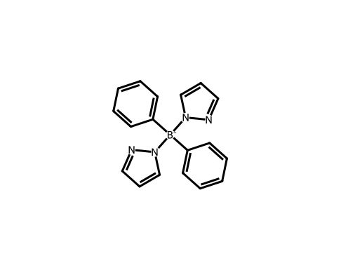 c1ccc([B-](c2ccccc2)(n2cccn2)n2cccn2)cc1